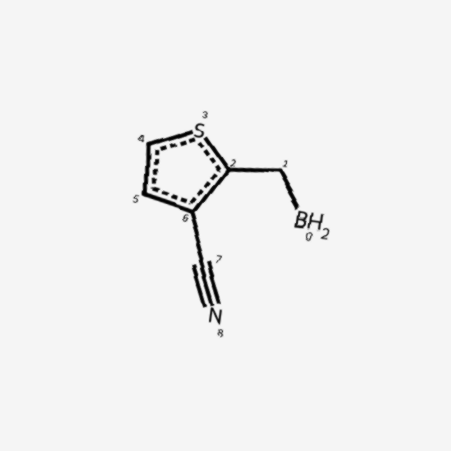 BCc1sccc1C#N